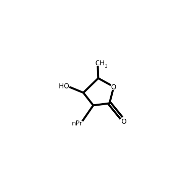 CCCC1C(=O)OC(C)C1O